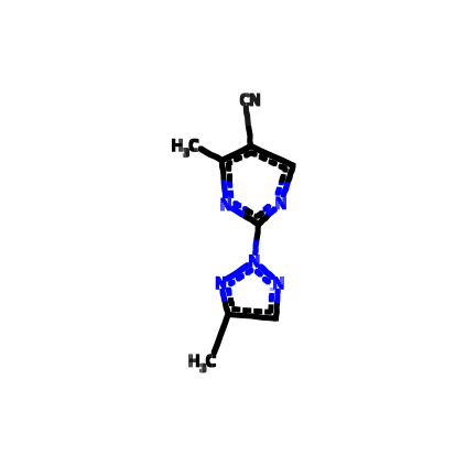 Cc1cnn(-c2ncc(C#N)c(C)n2)n1